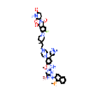 COc1cc(N2CCN(CCC3(C)CCN(c4cc5c(cc4F)C(=O)N(C4CCC(=O)NC4=O)C5=O)CC3)CC2)c(-c2cnn(C)c2)cc1Nc1ncc(Br)c(Nc2ccc3ccccc3c2P(C)C)n1